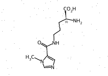 Cn1cncc1C(=O)NCCC[C@H](N)C(=O)O